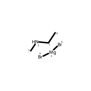 CCNC.[Br][Mg][Br]